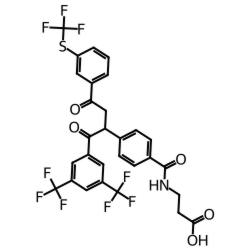 O=C(O)CCNC(=O)c1ccc(C(CC(=O)c2cccc(SC(F)(F)F)c2)C(=O)c2cc(C(F)(F)F)cc(C(F)(F)F)c2)cc1